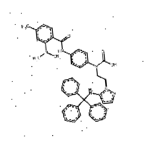 Cc1ccc(C(=O)Nc2ccc(N(CCn3nccc3NC(c3ccccc3)(c3ccccc3)c3ccccc3)C(=O)O)cc2)c(N(C)C)c1